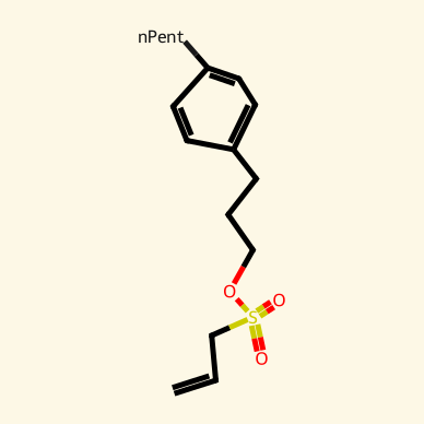 C=CCS(=O)(=O)OCCCc1ccc(CCCCC)cc1